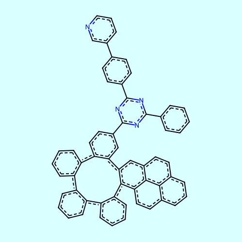 c1ccc(-c2nc(-c3ccc(-c4cccnc4)cc3)nc(-c3ccc4c5ccccc5c5ccccc5c5ccccc5c5c(cc6ccc7cccc8ccc5c6c78)c4c3)n2)cc1